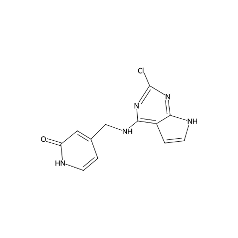 O=c1cc(CNc2nc(Cl)nc3[nH]ccc23)cc[nH]1